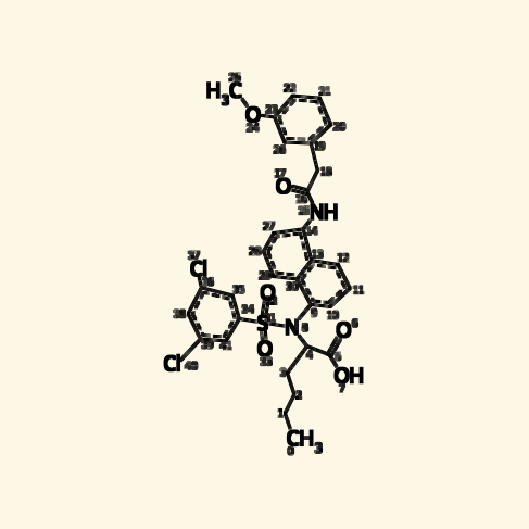 CCCCC(C(=O)O)N(c1cccc2c(NC(=O)Cc3cccc(OC)c3)cccc12)S(=O)(=O)c1cc(Cl)cc(Cl)c1